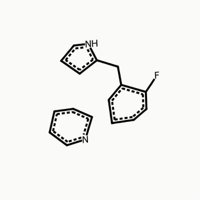 Fc1ccccc1Cc1ccc[nH]1.c1ccncc1